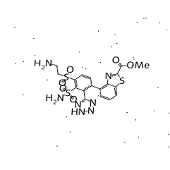 COC(=O)c1nc2c(-c3ccc(S(=O)(=O)CCN)c(S(N)(=O)=O)c3-c3nn[nH]n3)cccc2s1